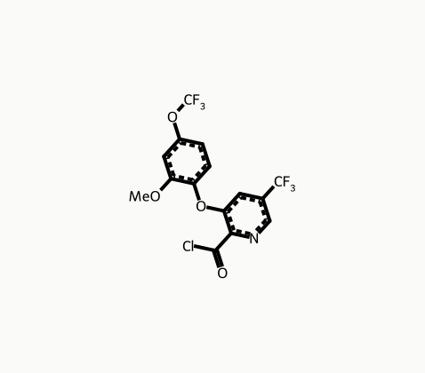 COc1cc(OC(F)(F)F)ccc1Oc1cc(C(F)(F)F)cnc1C(=O)Cl